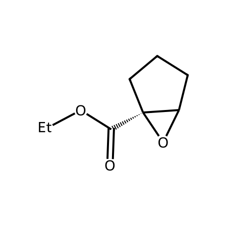 CCOC(=O)[C@]12CCCC1O2